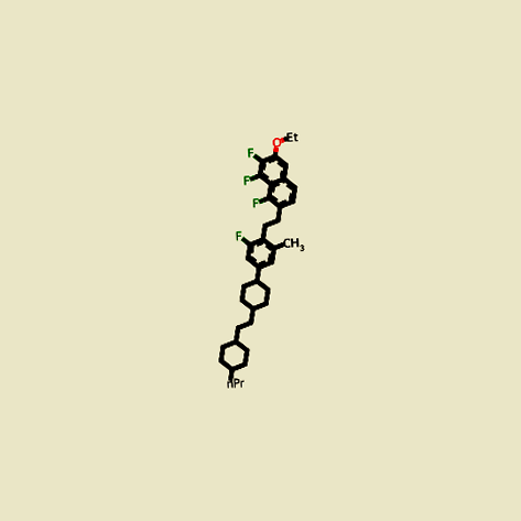 CCCC1CCC(CCC2CCC(c3cc(C)c(CCc4ccc5cc(OCC)c(F)c(F)c5c4F)c(F)c3)CC2)CC1